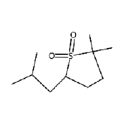 CC(C)CC1CCC(C)(C)S1(=O)=O